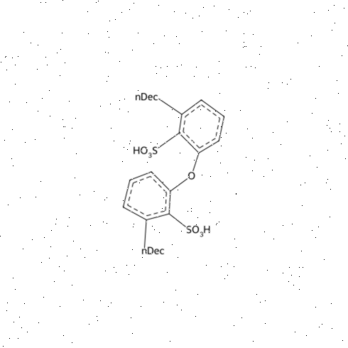 CCCCCCCCCCc1cccc(Oc2cccc(CCCCCCCCCC)c2S(=O)(=O)O)c1S(=O)(=O)O